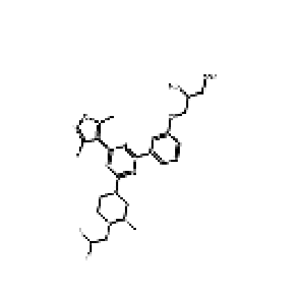 CNCC(O)COc1cccc(-c2nc(-c3c(C)noc3C)cc(N3CCN(CC(F)F)[C@@H](C)C3)n2)c1